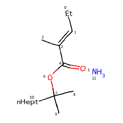 CC/C=C(\C)C(=O)OC(C)(C)CCCCCCC.N